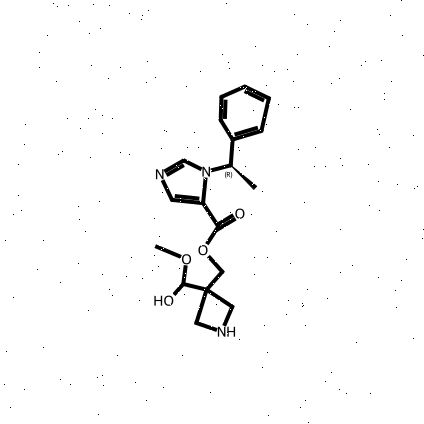 COC(O)C1(COC(=O)c2cncn2[C@H](C)c2ccccc2)CNC1